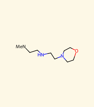 CNCCNCCN1CCOCC1